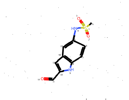 CS(=O)(=O)Nc1ccc2[nH]c(C=O)cc2c1